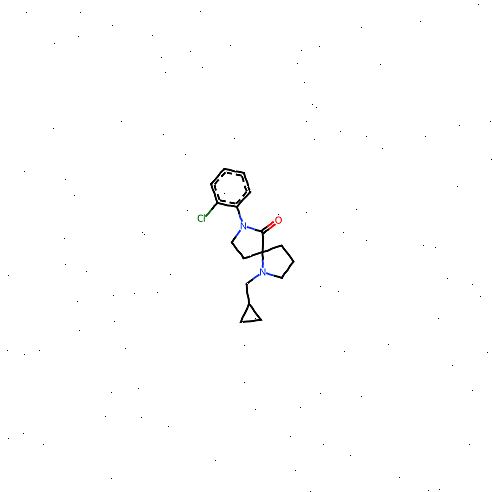 O=C1N(c2ccccc2Cl)CCC12CCCN2CC1CC1